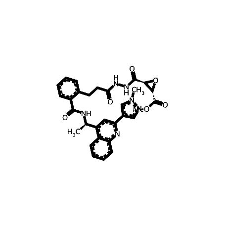 COC(=O)[C@H]1O[C@@H]1C(=O)NNC(=O)CCc1ccccc1C(=O)N[C@H](C)c1cc(-c2cnn(C)c2)nc2ccccc12